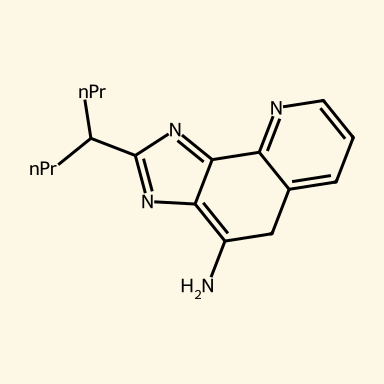 CCCC(CCC)C1=NC2=C(N)Cc3cccnc3C2=N1